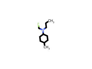 CCCN(CF)C1CCC(C)CC1